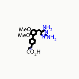 COc1cc(Cc2cnc(N)nc2N)cc(-c2ccc(/C=C/C(=O)O)cc2)c1OC